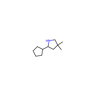 CC1(C)CNC(C2CCCC2)C1